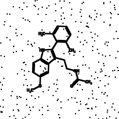 COc1ccc2[nH]c(-c3c(C)cccc3C)c(CCNC(C)=O)c2c1